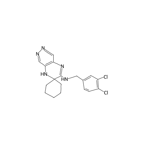 Clc1ccc(CNC2=Nc3cnncc3NC23CCCCC3)cc1Cl